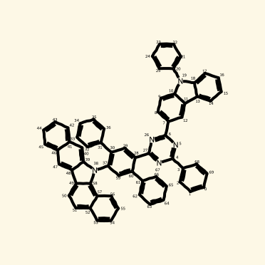 c1ccc(-c2nc(-c3ccc4c(c3)c3ccccc3n4-c3ccccc3)nc(-c3cc(-c4ccccc4)c(-n4c5cc6ccccc6cc5c5ccc6ccccc6c54)cc3-c3ccccc3)n2)cc1